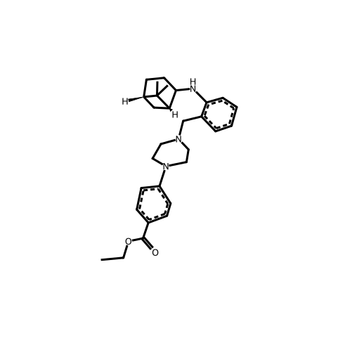 CCOC(=O)c1ccc(N2CCN(Cc3ccccc3NC3CC[C@H]4C[C@@H]3C4(C)C)CC2)cc1